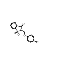 O=C1c2ccccc2S(=O)(=O)N1COc1ccc(Cl)cc1